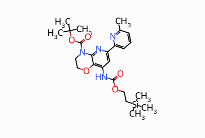 Cc1cccc(-c2cc(NC(=O)OCC[Si](C)(C)C)c3c(n2)N(C(=O)OC(C)(C)C)CCO3)n1